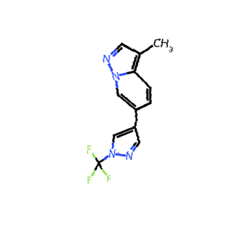 Cc1cnn2cc(-c3cnn(C(F)(F)F)c3)ccc12